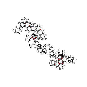 CC(C)(C)c1cc(-c2cccc3cccc(-c4ccccc4N(c4ccc(-c5cccc6c5oc5ccc(CC(C)(C)c7cc(-c8cccc9cccc(-c%10ccccc%10N(c%10ccc(-c%11cccc%12c%11oc%11ccccc%11%12)cc%10)c%10ccccc%10-c%10ccc(-c%11ccccc%11)cc%10)c89)cc(C(C)(C)C)c7)cc56)cc4)c4ccccc4-c4ccccc4)c23)cc(C(C)(C)C)c1